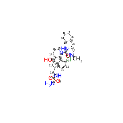 CNCC(CC1CCCCC1)NC(=O)N1CCCC(C(O)(CCCNS(N)(=O)=O)c2cccc(Cl)c2)C1